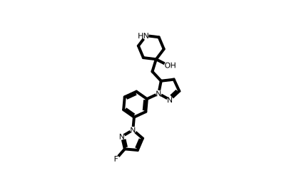 OC1(CC2CC=NN2c2cccc(-n3ccc(F)n3)c2)CCNCC1